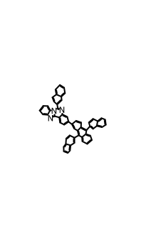 c1ccc2cc(-c3c4ccccc4c(-c4ccc5ccccc5c4)c4cc(-c5ccc6c(c5)nc(-c5ccc7ccccc7c5)n5c7ccccc7nc65)ccc34)ccc2c1